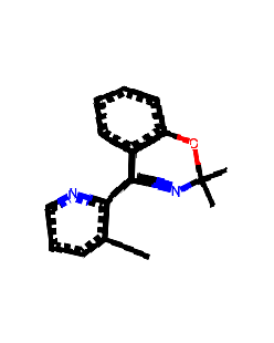 Cc1cccnc1C1=NC(C)(C)Oc2ccccc21